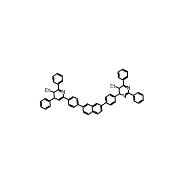 CCC1C(c2ccccc2)=NC(c2ccc(-c3ccc4ccc(-c5ccc(C6N=C(c7ccccc7)N=C(c7ccccc7)C6CC)cc5)cc4c3)cc2)=CC1c1ccccc1